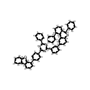 c1ccc(-c2nc(-c3ccc(-c4cccc5c4oc4ccccc45)cc3)nc(-c3cccc(-c4ccc5nc(-c6ccccc6)c6cccc(-c7ccccc7)c6c5c4)c3)n2)cc1